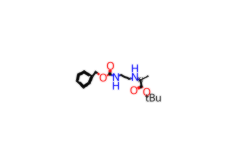 C[C@H](NCCNC(=O)OCc1ccccc1)C(=O)OC(C)(C)C